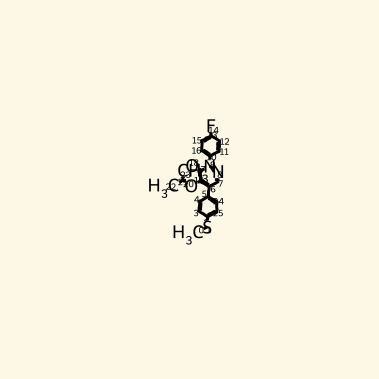 CSc1ccc(-c2cnn(-c3ccc(F)cc3)c(=O)c2OC(C)C)cc1